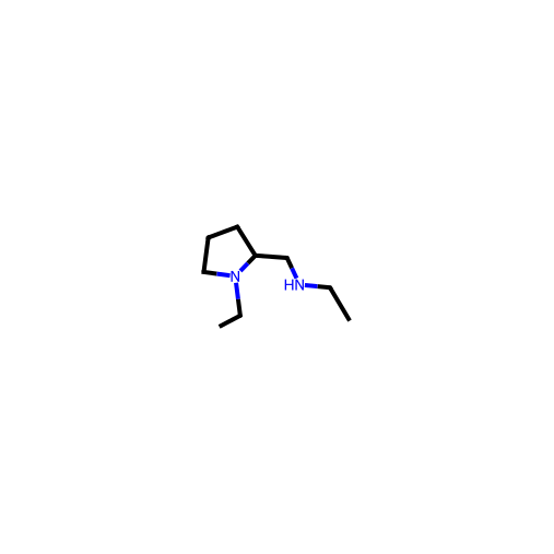 CCNCC1CCCN1CC